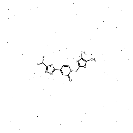 Cc1nc(Cn2ccc(-c3nnc(C(F)F)o3)cc2=O)oc1C